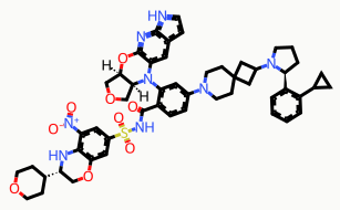 O=C(NS(=O)(=O)c1cc2c(c([N+](=O)[O-])c1)N[C@@H](C1CCOCC1)CO2)c1ccc(N2CCC3(CC2)CC(N2CCC[C@H]2c2ccccc2C2CC2)C3)cc1N1c2cc3cc[nH]c3nc2O[C@@H]2COC[C@@H]21